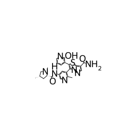 Cc1ncc(NC(=O)[C@@H]2C[C@H](C)CN2C)cc1-c1c(-c2cccnc2O)sc2c(C(N)=O)cnn12